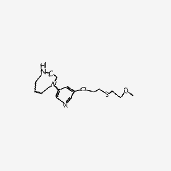 COCCSCCOc1cncc(N2CCCNCC2)c1